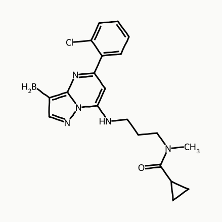 Bc1cnn2c(NCCCN(C)C(=O)C3CC3)cc(-c3ccccc3Cl)nc12